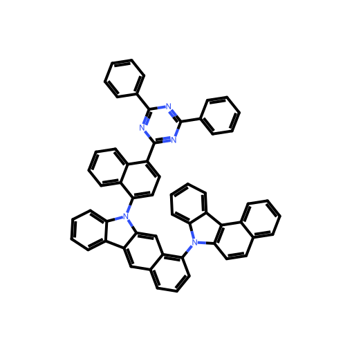 c1ccc(-c2nc(-c3ccccc3)nc(-c3ccc(-n4c5ccccc5c5cc6cccc(-n7c8ccccc8c8c9ccccc9ccc87)c6cc54)c4ccccc34)n2)cc1